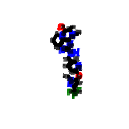 CC1C(=O)N2CCCc3nc(NCc4ccc(Oc5cc(C(F)(F)F)nn5C)nc4)nc(c32)N1C